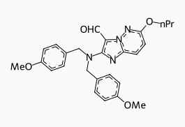 CCCOc1ccc2nc(N(Cc3ccc(OC)cc3)Cc3ccc(OC)cc3)c(C=O)n2n1